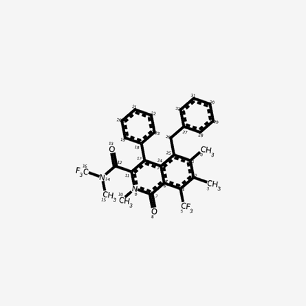 Cc1c(C)c(C(F)(F)F)c2c(=O)n(C)c(C(=O)N(C)C(F)(F)F)c(-c3ccccc3)c2c1Cc1ccccc1